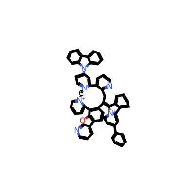 c1ccc(-c2cc[n+]3c(c2)-c2ccccc2/C3=C2\Cc3ncccc3-c3cc(-n4c5ccccc5c5ccccc54)cc[n+]3C[n+]3ccccc3-c3c2ccc2c3oc3ncccc32)cc1